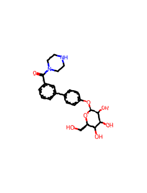 O=C(c1cccc(-c2ccc(OC3OC(CO)C(O)C(O)C3O)cc2)c1)N1CCNCC1